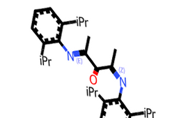 C/C(=N/c1c(C(C)C)cccc1C(C)C)C(=O)/C(C)=N/c1c(C(C)C)cccc1C(C)C